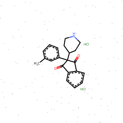 Cc1cccc(C2(C3CCNCC3)C(=O)c3ccccc3C2=O)c1.Cl.Cl